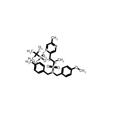 COc1ccc(CN(Cc2ccc(C)cc2)S(=O)(=O)[C@H](C)[C@H](O[Si](C)(C)C(C)(C)C)c2cnc(C)cn2)cc1